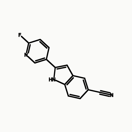 N#Cc1ccc2[nH]c(-c3ccc(F)nc3)cc2c1